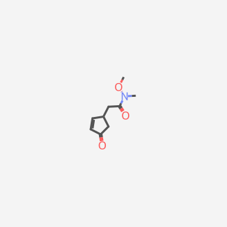 CON(C)C(=O)CC1C=CC(=O)C1